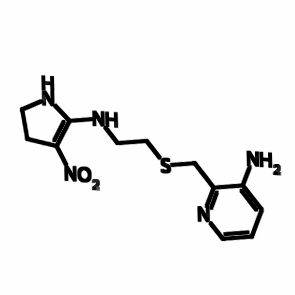 Nc1cccnc1CSCCNC1=C([N+](=O)[O-])CCN1